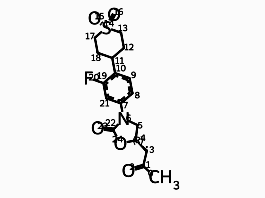 CC(=O)[CH][C@@H]1CN(c2ccc(C3CCS(=O)(=O)CC3)c(F)c2)C(=O)O1